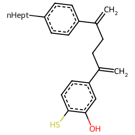 C=C(CCC(=C)c1ccc(S)c(O)c1)c1ccc(CCCCCCC)cc1